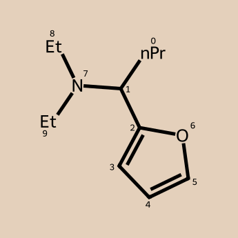 CCCC(c1ccco1)N(CC)CC